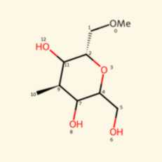 COC[C@@H]1OC(CO)C(O)[C@@H](C)C1O